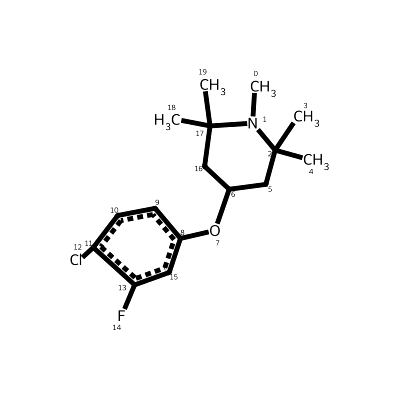 CN1C(C)(C)CC(Oc2ccc(Cl)c(F)c2)CC1(C)C